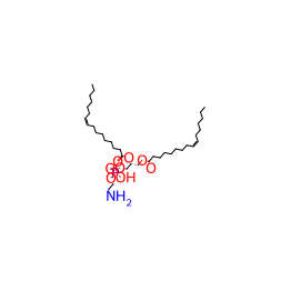 CCCCCC/C=C\CCCCCCCC(=O)OC[C@H](COP(=O)(O)OCCN)OC(=O)CCCCCCC/C=C\CCCCCC